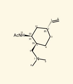 C=C[C@@H]1CC[C@@H](CN(C)C)[C@@H](NC(C)=O)C1